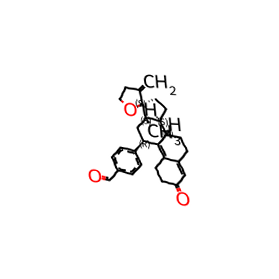 C=C1CCO[C@@]12CC[C@H]1[C@@H]3CCC4=CC(=O)CCC4=C3[C@@H](c3ccc(C=O)cc3)C[C@@]12C